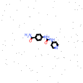 NC(=O)c1ccc(NC(=O)Nc2ccncc2)cc1